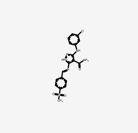 CS(=O)(=O)c1ccc(C=Nc2[nH]nc(Nc3cccc(Cl)c3)c2C(N)=O)cc1